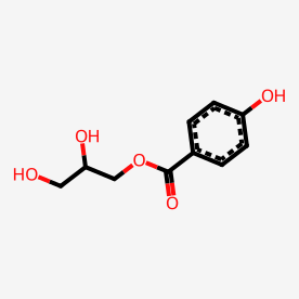 O=C(OCC(O)CO)c1ccc(O)cc1